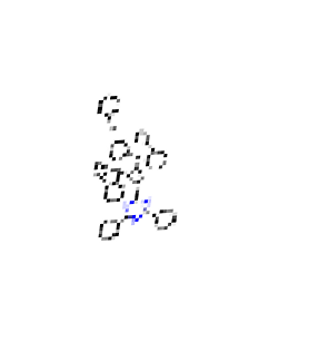 c1ccc(CCc2ccc3c(c2)C2(c4ccccc4-c4ccccc42)c2ccc(-c4nc(-c5ccccc5)nc(-c5ccccc5)n4)cc2C32c3ccccc3-c3ccccc32)cc1